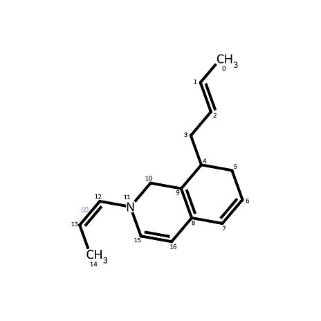 CC=CCC1CC=CC2=C1CN(/C=C\C)C=C2